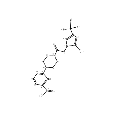 Cc1cc(C(F)(F)F)nn1CC(=O)N1CCC(c2cccc(C(=O)O)n2)CC1